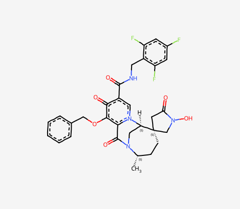 C[C@H]1CC[C@@]2(CC(=O)N(O)C2)[C@H]2CN1C(=O)c1c(OCc3ccccc3)c(=O)c(C(=O)NCc3c(F)cc(F)cc3F)cn12